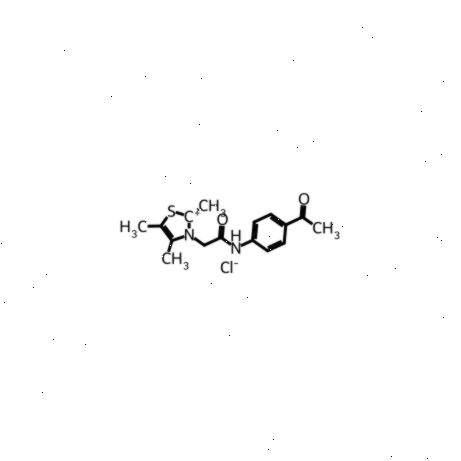 CC(=O)c1ccc(NC(=O)Cn2c(C)c(C)s[c+]2C)cc1.[Cl-]